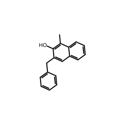 Cc1c(O)c(Cc2ccccc2)cc2ccccc12